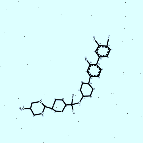 CC1COC(C2CCC(C(F)(F)OC3CCC(c4ccc(-c5ccc(F)c(F)c5)c(F)c4)CC3)CC2)OC1